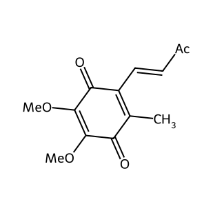 COC1=C(OC)C(=O)C(C=CC(C)=O)=C(C)C1=O